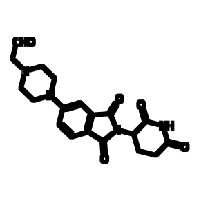 O=CCN1CCN(c2ccc3c(c2)C(=O)N(C2CCC(=O)NC2=O)C3=O)CC1